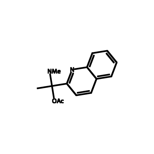 CNC(C)(OC(C)=O)c1ccc2ccccc2n1